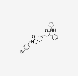 O=C(NC1CCCC1)C(CCN1CCC2(CC1)CCN(Cc1ccc(Br)cc1)C2=O)c1ccccc1